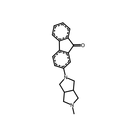 CN1CC2CN(c3ccc4c(c3)C(=O)c3ccccc3-4)CC2C1